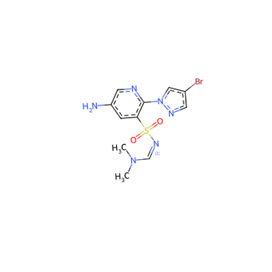 CN(C)/C=N\S(=O)(=O)c1cc(N)cnc1-n1cc(Br)cn1